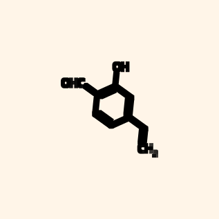 C=Cc1ccc(C=O)c(O)c1